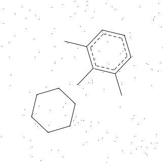 C1CCCCC1.Cc1cccc(C)c1C